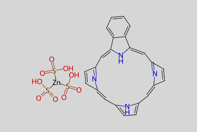 C1=Cc2cc3[nH]c(cc4nc(cc5ccc(cc1n2)[nH]5)C=C4)c1ccccc31.O=[S](=O)(O)[Zn]([S](=O)(=O)O)[S](=O)(=O)O